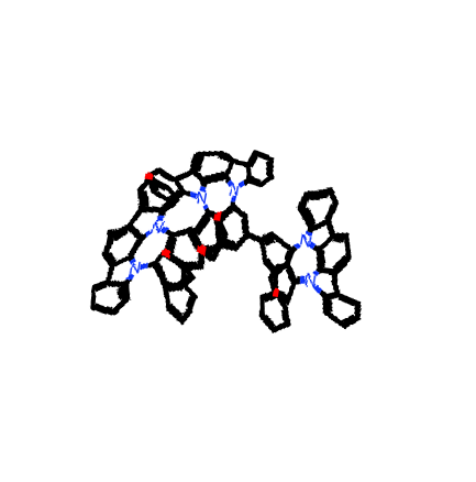 c1ccc(-c2cc(-c3cc(-c4cc(-c5ccccc5)cc(-n5c6ccccc6c6ccc7c8ccccc8n(-c8ccccc8)c7c65)c4)cc(-n4c5ccccc5c5ccc6c7ccccc7n(-c7ccccc7)c6c54)c3)cc(-n3c4ccccc4c4ccc5c6ccccc6n(-c6ccccc6)c5c43)c2)cc1